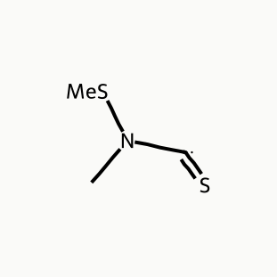 CSN(C)[C]=S